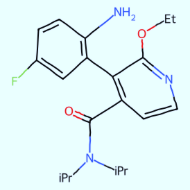 CCOc1nccc(C(=O)N(C(C)C)C(C)C)c1-c1cc(F)ccc1N